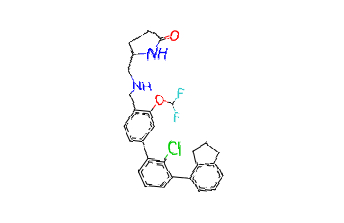 O=C1CCC(CNCc2ccc(-c3cccc(-c4cccc5c4CCC5)c3Cl)cc2OC(F)F)N1